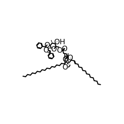 CCCCCCCCCCCCC/C=C/[C@@H](OC(=O)CCC(=O)OCC1O[C@@H](Sc2ccccc2)C(OC(=O)c2ccccc2)[C@@H](C)[C@@H]1O)[C@H](CC)NC(=O)CCCCCCCCCCCCCCCCC